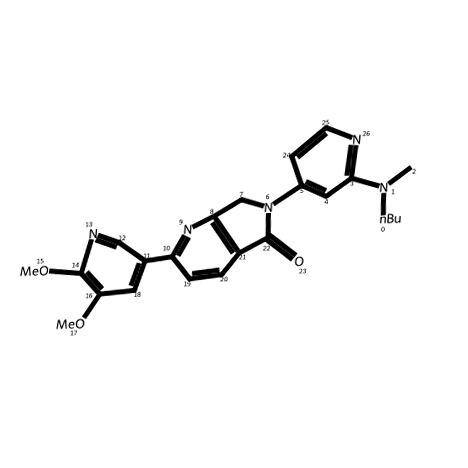 CCCCN(C)c1cc(N2Cc3nc(-c4cnc(OC)c(OC)c4)ccc3C2=O)ccn1